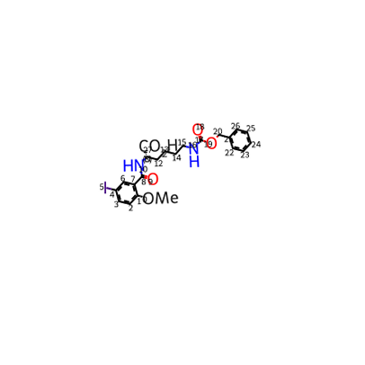 COc1ccc(I)cc1C(=O)N[C@@H](CCCCNC(=O)OCc1ccccc1)C(=O)O